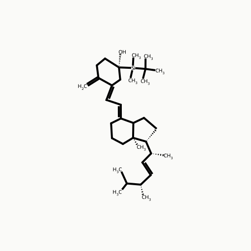 C=C1CC[C@@](O)([Si](C)(C)C(C)(C)C)CC1=CC=C1CCC[C@@]2(C)C1CC[C@@H]2[C@H](C)/C=C/[C@H](C)C(C)C